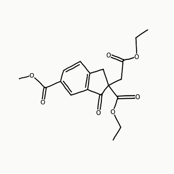 CCOC(=O)CC1(C(=O)OCC)Cc2ccc(C(=O)OC)cc2C1=O